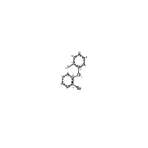 Brc1ccccc1Oc1ccccc1I